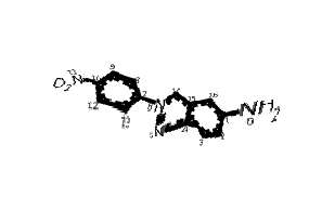 Nc1ccc2nn(-c3ccc([N+](=O)[O-])cc3)cc2c1